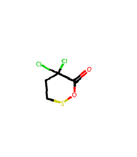 O=C1OSCCC1(Cl)Cl